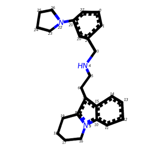 c1cc(CNCCc2c3n(c4ccccc24)CCCC3)cc(N2CCCC2)c1